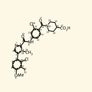 COc1ccc(-c2cnc(C(=O)Nc3ccc(C(=O)N4CCC(C(=O)O)CC4)c(Cl)c3)n2C)c(Cl)c1F